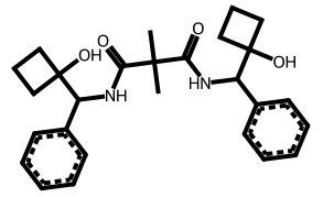 CC(C)(C(=O)NC(c1ccccc1)C1(O)CCC1)C(=O)NC(c1ccccc1)C1(O)CCC1